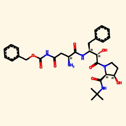 CC(C)(C)NC(=O)[C@@H]1[C@H](O)CCN1C(=O)[C@@H](O)[C@H](Cc1ccccc1)NC(=O)[C@@H](N)CC(=O)NC(=O)OCc1ccccc1